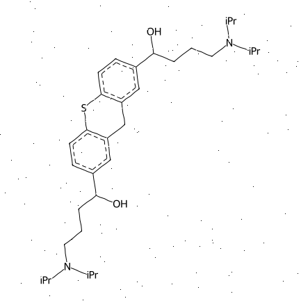 CC(C)N(CCCC(O)c1ccc2c(c1)Cc1cc(C(O)CCCN(C(C)C)C(C)C)ccc1S2)C(C)C